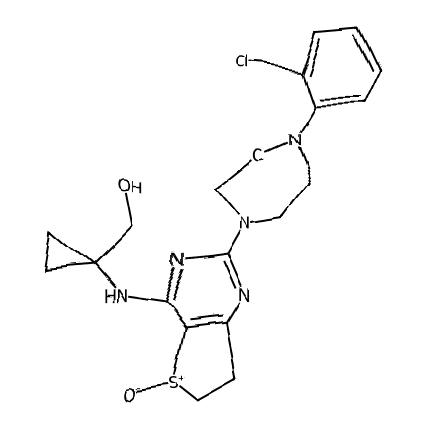 [O-][S+]1CCc2nc(N3CCN(c4ccccc4Cl)CC3)nc(NC3(CO)CC3)c21